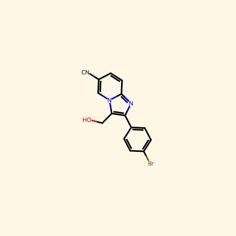 [C-]#[N+]c1ccc2nc(-c3ccc(Br)cc3)c(CO)n2c1